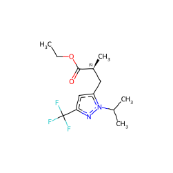 CCOC(=O)[C@@H](C)Cc1cc(C(F)(F)F)nn1C(C)C